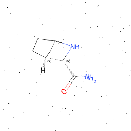 NC(=O)[C@H]1NC2CC[C@@H]21